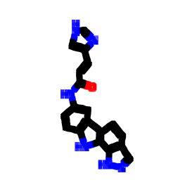 O=C(C=Cc1c[nH]cn1)Nc1ccc2[nH]c3c(ccc4cn[nH]c43)c2c1